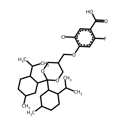 CC1CCC(C(C)C)C(C2(C3CC(C)CCC3C(C)C)OCC(COc3cc(F)c(C(=O)O)cc3Cl)CO2)C1